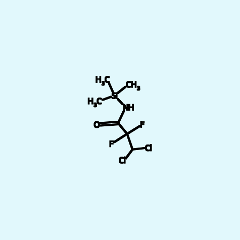 C[Si](C)(C)NC(=O)C(F)(F)C(Cl)Cl